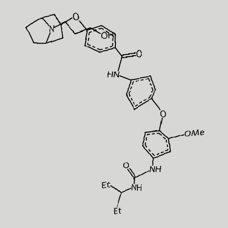 CCC(CC)NC(=O)Nc1ccc(Oc2ccc(NC(=O)c3ccc(OC4CC5CCC(C4)N5CCCO)cc3)cc2)c(OC)c1